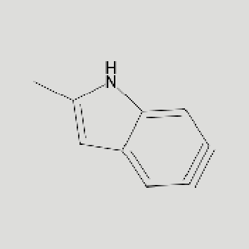 Cc1cc2cc#ccc2[nH]1